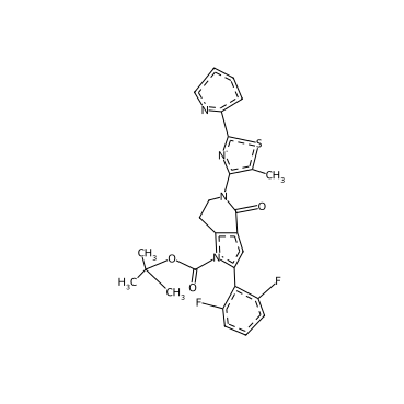 Cc1sc(-c2ccccn2)nc1N1CCc2c(cc(-c3c(F)cccc3F)n2C(=O)OC(C)(C)C)C1=O